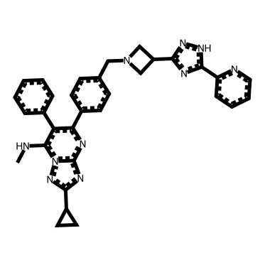 CNc1c(-c2ccccc2)c(-c2ccc(CN3CC(c4n[nH]c(-c5ccccn5)n4)C3)cc2)nc2nc(C3CC3)nn12